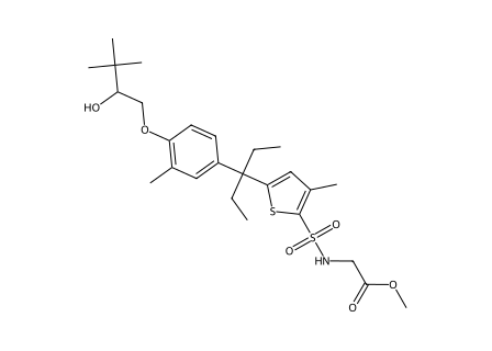 CCC(CC)(c1ccc(OCC(O)C(C)(C)C)c(C)c1)c1cc(C)c(S(=O)(=O)NCC(=O)OC)s1